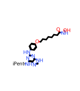 CCCC(C)Nc1nc(Nc2ccc(OCCCCCCCC(=O)NO)cc2)nc2[nH]cnc12